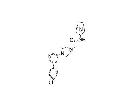 CN1C2CCC1CC(NC(=O)CN1CCN(c3cncc(-c4ccc(Cl)cc4)c3)CC1)C2